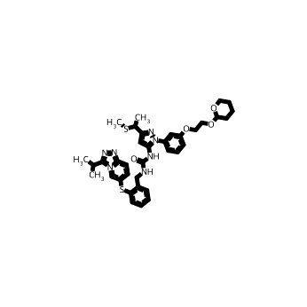 CSC(C)c1cc(NC(=O)NCc2ccccc2Sc2ccc3nnc(C(C)C)n3c2)n(-c2cccc(OCCOC3CCCCO3)c2)n1